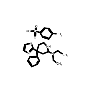 CCN(CC)C1CC(c2ccccc2)(c2nccs2)CCN1.Cc1ccc(S(=O)(=O)O)cc1